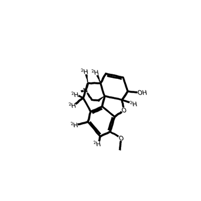 [2H]c1c([2H])c2c3c(c1OC)OC1([2H])C(O)C=C[C@]4([2H])[C@@]31CCN(C)[C@]4([2H])C2([2H])[2H]